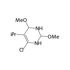 COC1NC(Cl)=C(C(C)C)C(OC)N1